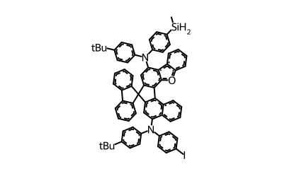 C[SiH2]c1ccc(N(c2ccc(C(C)(C)C)cc2)c2cc3c(c4oc5ccccc5c24)-c2c(cc(N(c4ccc(I)cc4)c4ccc(C(C)(C)C)cc4)c4ccccc24)C32c3ccccc3-c3ccccc32)cc1